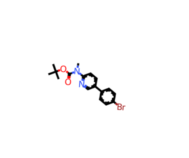 CN(C(=O)OC(C)(C)C)c1ccc(-c2ccc(Br)cc2)cn1